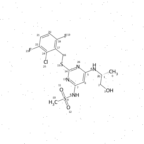 C[C@H](CO)Nc1cc(NS(C)(=O)=O)nc(SCc2c(F)ccc(F)c2Cl)n1